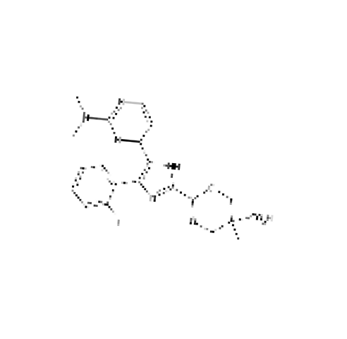 CN(C)c1nccc(-c2[nH]c(C3OCC(C)(C(=O)O)CO3)nc2-c2ccccc2F)n1